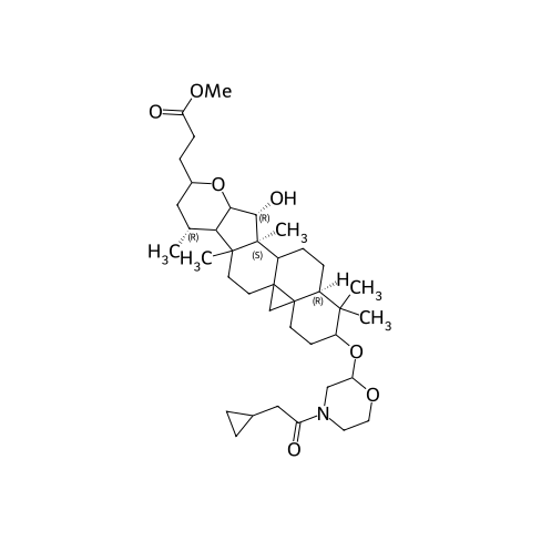 COC(=O)CCC1C[C@@H](C)C2C(O1)[C@H](O)[C@@]1(C)C3CC[C@H]4C(C)(C)C(OC5CN(C(=O)CC6CC6)CCO5)CCC45CC35CCC21C